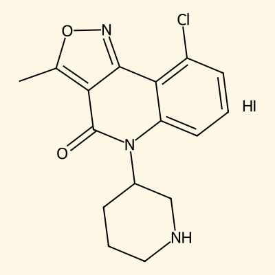 Cc1onc2c1c(=O)n(C1CCCNC1)c1cccc(Cl)c21.I